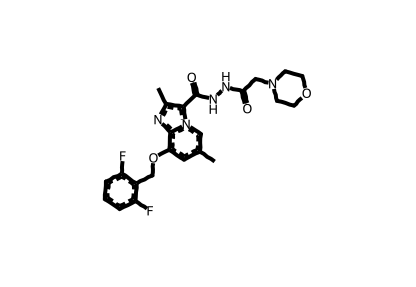 Cc1cc(OCc2c(F)cccc2F)c2nc(C)c(C(=O)NNC(=O)CN3CCOCC3)n2c1